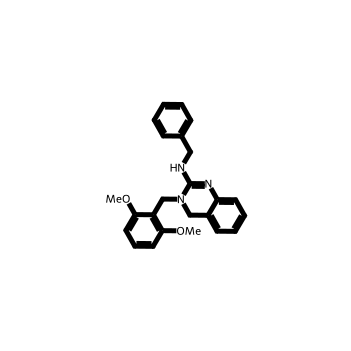 COc1cccc(OC)c1CN1Cc2ccccc2N=C1NCc1ccccc1